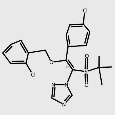 CC(C)(C)S(=O)(=O)/C(=C(/OCc1ccccc1Cl)c1ccc(Cl)cc1)n1cncn1